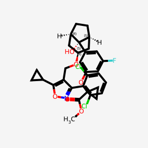 COC(=O)C1(Oc2cc(F)cc([C@@]3(O)[C@@H]4CC[C@H]3C[C@@H](OCc3c(-c5c(Cl)cccc5Cl)noc3C3CC3)C4)c2)CC1